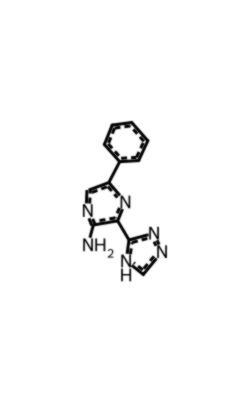 Nc1ncc(-c2ccccc2)nc1-c1nnc[nH]1